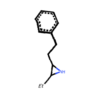 CCC1NC1CCc1ccccc1